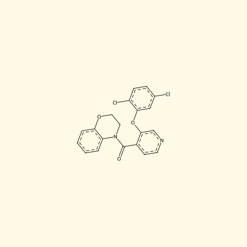 O=C(c1ccncc1Oc1cc(Cl)ccc1Cl)N1CCOc2ccccc21